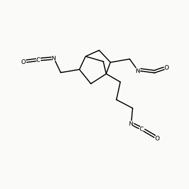 O=C=NCCCC12CC(CN=C=O)C(CC1CN=C=O)C2